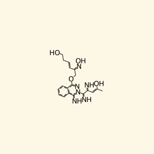 C/C(O)=C/C(=N)C(=N)n1nc(OCC(/C=C/CCO)=N/O)c2ccccc2c1=N